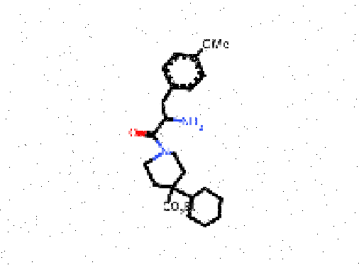 CCOC(=O)C1(C2CCCCC2)CCN(C(=O)C(N)Cc2ccc(OC)cc2)CC1